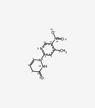 Cc1cc(N2C=CCC(=O)N2)ncc1[N+](=O)[O-]